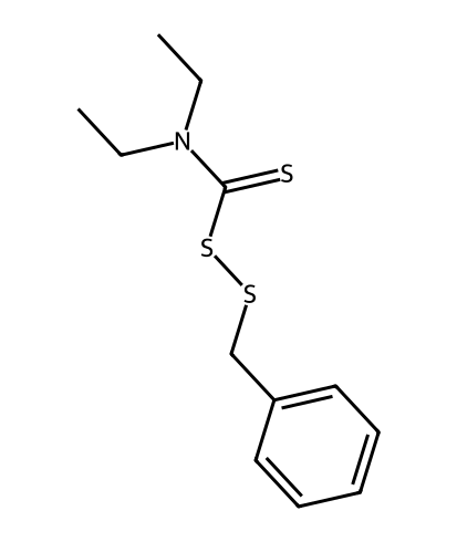 CCN(CC)C(=S)SSCc1ccccc1